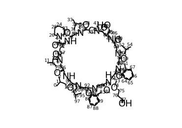 CC(C)C[C@@H]1NC(=O)[C@H](CC(C)C)N(C)C(=O)C[C@@H](C(=O)N2CCCCC2)NC(=O)[C@H](CC(C)C)N(C)C(=O)CN(C)C(=O)[C@H]([C@@H](C)O)NC(=O)[C@H](CC(C)C)N(C)C(=O)[C@H](Cc2ccccc2)N(C)C(=O)[C@H](COCCCO)NC(=O)[C@H](Cc2ccccc2)N(C)C(=O)[C@H](CC(C)C)N(C)C1=O